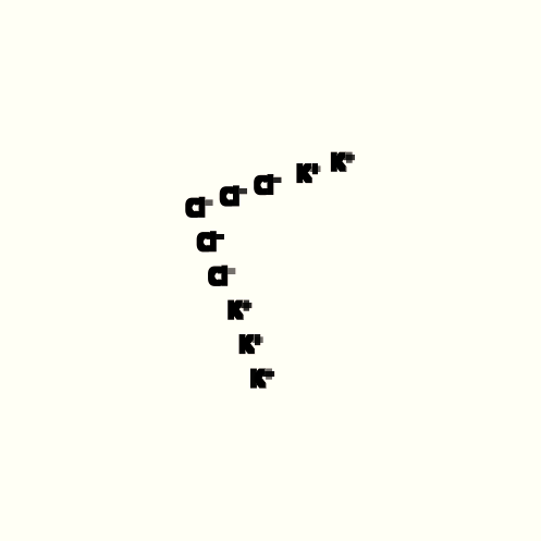 [Cl-].[Cl-].[Cl-].[Cl-].[Cl-].[K+].[K+].[K+].[K+].[K+]